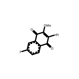 CCCC1=C(OC)C(=O)c2cc(F)ccc2C1=O